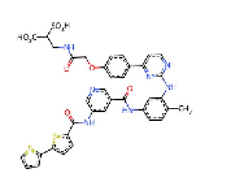 Cc1ccc(NC(=O)c2cncc(NC(=O)c3ccc(-c4cccs4)s3)c2)cc1Nc1nccc(-c2ccc(OCC(=O)NCC(C(=O)O)S(=O)(=O)O)cc2)n1